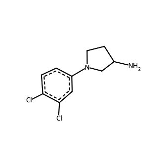 NC1CCN(c2ccc(Cl)c(Cl)c2)C1